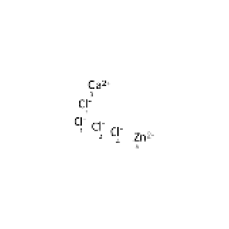 [Ca+2].[Cl-].[Cl-].[Cl-].[Cl-].[Zn+2]